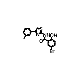 Cc1cccc(-c2csc(NC(=O)c3cc(Br)ccc3O)n2)c1